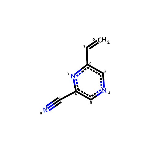 C=Cc1cncc(C#N)n1